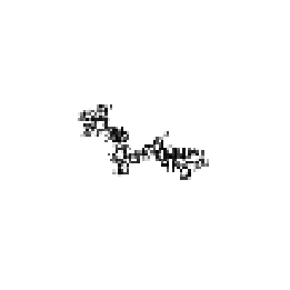 COc1cc(C2NC(=O)c3cc(C)ccc3N2)ccc1OCCOc1cc(-c2cc(-c3cc(OC)c(OC)c(OC)c3)no2)ccc1OC